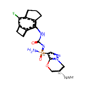 CN[C@@H]1COc2c([S@](N)(=O)=NC(=O)Nc3c4c(c(F)c5c3CC5)CCC4)cnn2C1